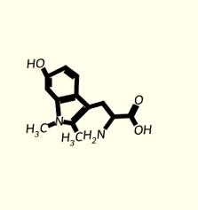 Cc1c(CC(N)C(=O)O)c2ccc(O)cc2n1C